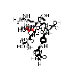 N=C(N)NCCC[C@H](NC(=O)[C@H](CC(=O)O)NC(=O)[C@H](CCC(=O)O)NC(=O)c1ccc(NCc2cnc3[nH][nH]c(=O)c3n2)cc1)C(=O)N[C@@H](CC(=O)O)C(=O)N[C@@H](CC(=O)O)C(=O)N[C@@H](CS)C(=O)O